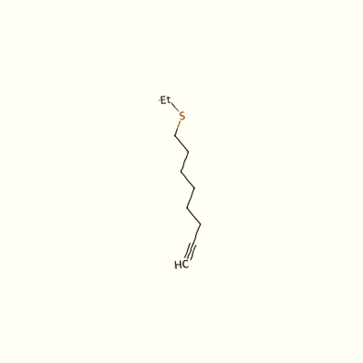 C#CCCCCCCS[CH]C